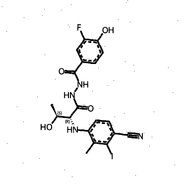 Cc1c(N[C@@H](C(=O)NNC(=O)c2ccc(O)c(F)c2)[C@H](C)O)ccc(C#N)c1I